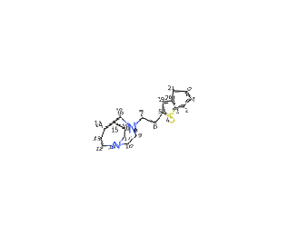 c1ccc2sc(CCN3CCN4CCCC(CC4)C3)cc2c1